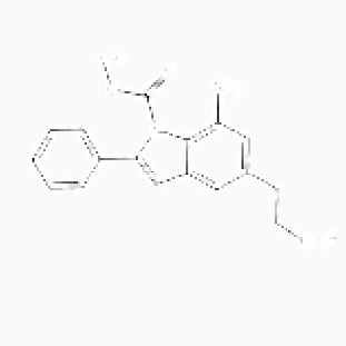 CC(C)(C)OC(=O)n1c(-c2ccccc2)cc2cc(CCC(=O)O)cc([N+](=O)[O-])c21